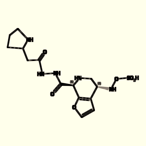 O=C(CC1CCCN1)NNC(=O)[C@H]1NC[C@H](NOS(=O)(=O)O)c2ccoc21